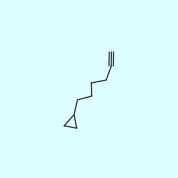 [C]#CCCCCC1CC1